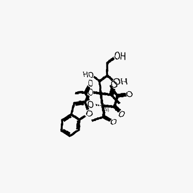 CC(=O)O[C@@](C(C)=O)(C(=O)C(C)=O)C(Oc1cc2ccccc2o1)(C(C)=O)C(O)C(O)CO